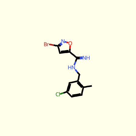 Cc1ccc(Cl)cc1CNC(=N)c1cc(Br)no1